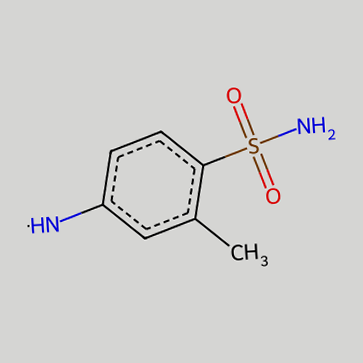 Cc1cc([NH])ccc1S(N)(=O)=O